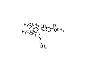 CCCCCCc1cc2c(cc1C(C)=Cc1ccc(C(=O)OC)cc1)C(C)(C)CC2(C)C